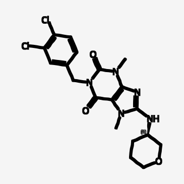 Cn1c(N[C@@H]2CCCOC2)nc2c1c(=O)n(Cc1ccc(Cl)c(Cl)c1)c(=O)n2C